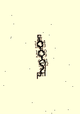 FCCC[SiH]1CCC(C2CCC(c3ccc(F)cc3)CC2)CC1